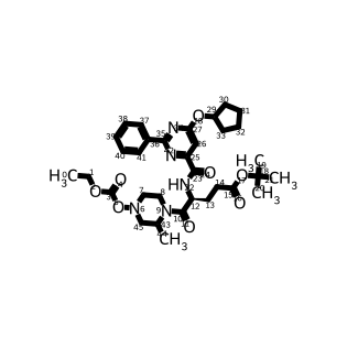 CCOC(=O)ON1CCN(C(=O)[C@H](CCC(=O)OC(C)(C)C)NC(=O)c2cc(OC3CCCC3)nc(-c3ccccc3)n2)C(C)C1